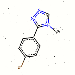 CC(C)n1cnnc1-c1ccc(Br)cc1